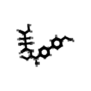 NCc1ccc(-c2ccc([C@H](O)[C@@H](CF)NC(=O)C(Cl)(Cl)C(F)(F)C(=O)OF)cc2)cn1